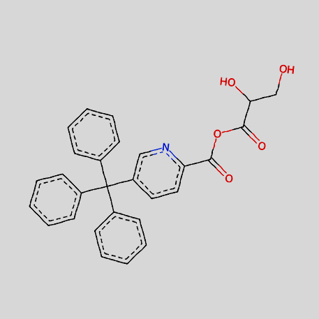 O=C(OC(=O)C(O)CO)c1ccc(C(c2ccccc2)(c2ccccc2)c2ccccc2)cn1